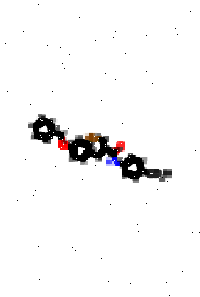 O=C(O)c1ccc(NC(=O)C(CS)Cc2ccc(OCc3ccccc3)cc2)cc1